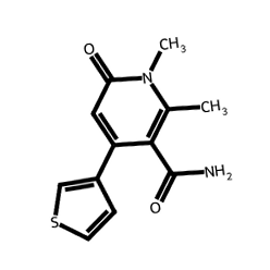 Cc1c(C(N)=O)c(-c2ccsc2)cc(=O)n1C